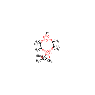 CC1CC(C)(C)OB2OB(OB(C(C)C)O2)OC(C)CC(C)(C)OB2OB(OB(OC(C)(C)CC(C)OC(C)(C)C)O2)O1